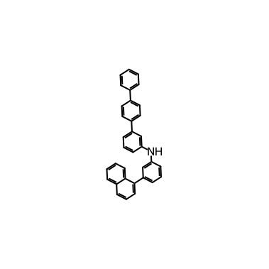 c1ccc(-c2ccc(-c3cccc(Nc4cccc(-c5cccc6ccccc56)c4)c3)cc2)cc1